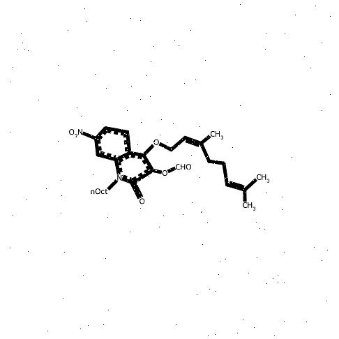 CCCCCCCCn1c(=O)c(OC=O)c(OCC=C(C)CCC=C(C)C)c2ccc([N+](=O)[O-])cc21